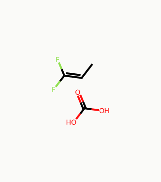 CC=C(F)F.O=C(O)O